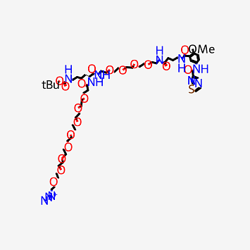 COc1ccc(NC(=O)c2cn3ccsc3n2)cc1C(=O)NCCCC(=O)NCCOCCOCCOCCOCCNC(=O)[C@@H](CCCCNC(=O)OC(C)(C)C)NC(=O)CCOCCOCCOCCOCCOCCOCCOCCOCCN=[N+]=[N-]